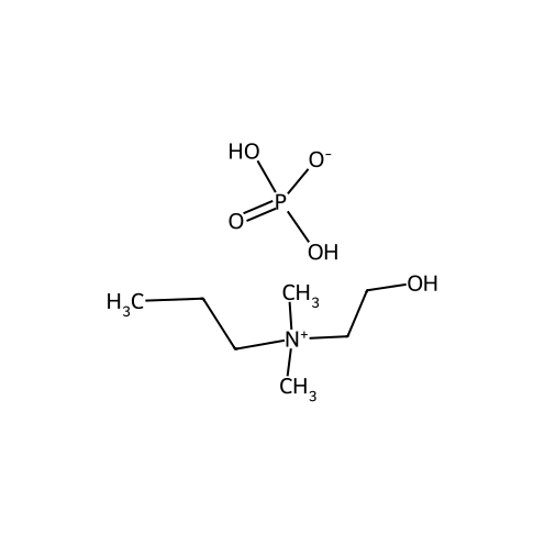 CCC[N+](C)(C)CCO.O=P([O-])(O)O